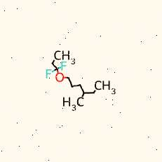 CCC(C)CCCOC(F)(F)CC